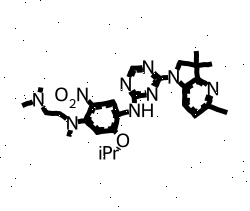 Cc1ccc2c(n1)C(C)(C)CN2c1ncnc(Nc2cc([N+](=O)[O-])c(N(C)CCN(C)C)cc2OC(C)C)n1